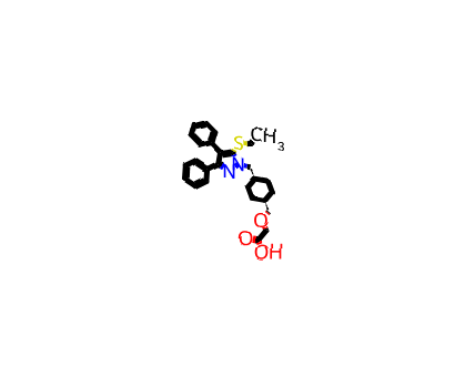 CCSc1c(-c2ccccc2)c(-c2ccccc2)nn1C[C@H]1CC[C@@H](COCC(=O)O)CC1